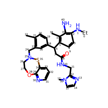 CCNc1ccc(C(CC(=O)NCc2nccn2C)c2ccc(C)c(CN3CCOc4ncccc4S3)c2)c(C)c1N